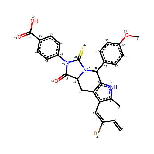 C=C/C(Br)=C\c1c(C)[nH]c2c1CC1C(=O)N(c3ccc(C(=O)O)cc3)C(=S)N1C2c1ccc(OC)cc1